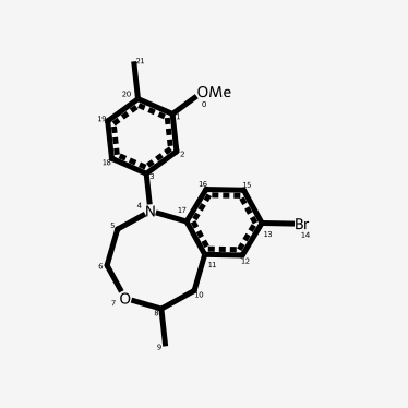 COc1cc(N2CCOC(C)Cc3cc(Br)ccc32)ccc1C